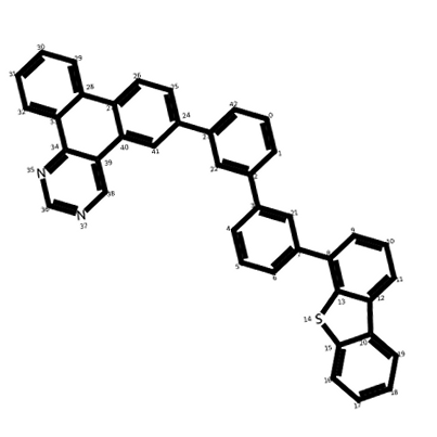 c1cc(-c2cccc(-c3cccc4c3sc3ccccc34)c2)cc(-c2ccc3c4ccccc4c4ncncc4c3c2)c1